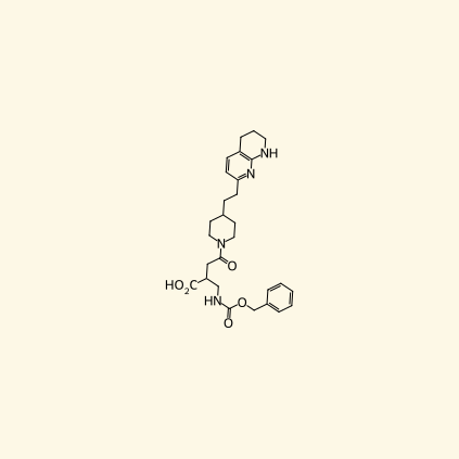 O=C(NCC(CC(=O)N1CCC(CCc2ccc3c(n2)NCCC3)CC1)C(=O)O)OCc1ccccc1